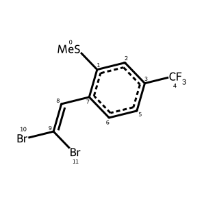 CSc1cc(C(F)(F)F)ccc1C=C(Br)Br